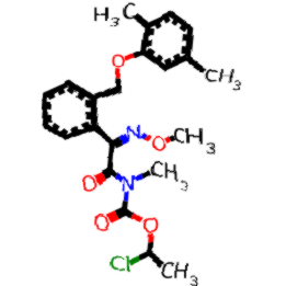 CON=C(C(=O)N(C)C(=O)OC(C)Cl)c1ccccc1COc1cc(C)ccc1C